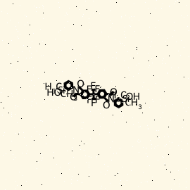 C[Si](C)(O)c1cccc(N2C(=O)c3ccc(C(c4ccc5c(c4)C(=O)N(c4cccc([Si](C)(C)O)c4)C5=O)(C(F)(F)F)C(F)(F)F)cc3C2=O)c1